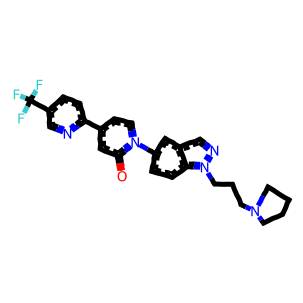 O=c1cc(-c2ccc(C(F)(F)F)cn2)ccn1-c1ccc2c(cnn2CCCN2CCCC2)c1